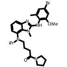 COc1cc(Br)cc(C)c1Nc1nc2cccc(N(CCCC(=O)N3CCCC3)C(C)C)c2n1C